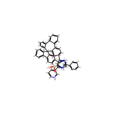 O=S1(=O)c2ccccc2-c2cc3c(cc21)-c1ccccc1C31c2ccccc2-c2ccccc2-c2ccc(-c3cc(-c4cccnc4)nc(-c4ccccc4)n3)cc21